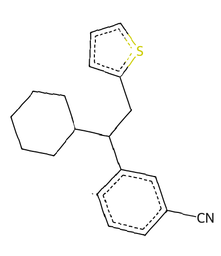 N#Cc1cc[c]c(C(Cc2cccs2)C2CCCCC2)c1